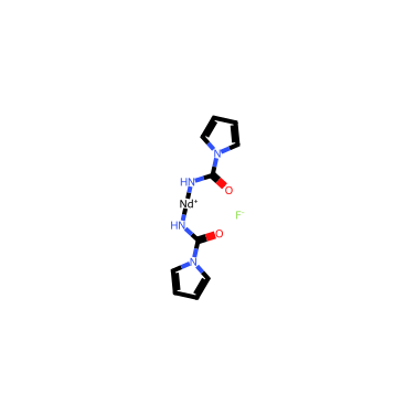 O=C([NH][Nd+][NH]C(=O)n1cccc1)n1cccc1.[F-]